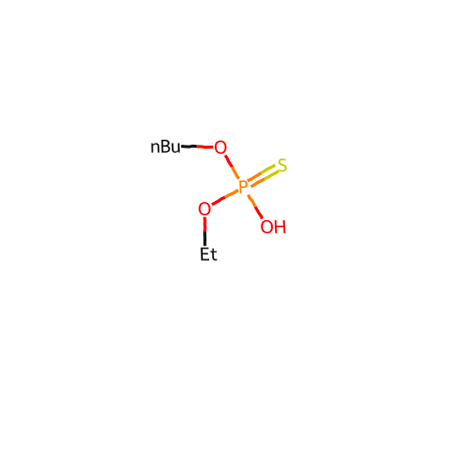 CCCCOP(O)(=S)OCC